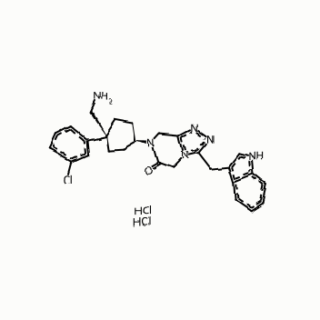 Cl.Cl.NC[C@]1(c2cccc(Cl)c2)CC[C@H](N2Cc3nnc(Cc4c[nH]c5ccccc45)n3CC2=O)CC1